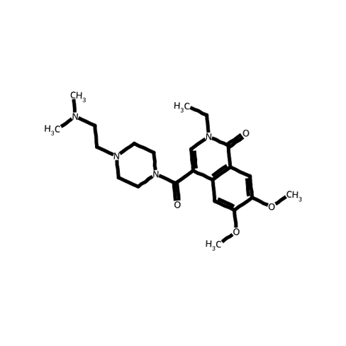 CCn1cc(C(=O)N2CCN(CCN(C)C)CC2)c2cc(OC)c(OC)cc2c1=O